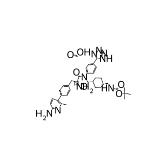 Cc1nc(N)ccc1-c1ccc(C[C@H](N)C(=O)N(c2ccc(-c3nnn[nH]3)cc2)C(=O)[C@H]2CC[C@H](CNC(=O)OC(C)(C)C)CC2)cc1.O=CO